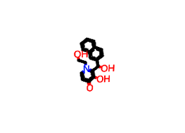 O=c1ccn(CCO)c(C(O)c2ccc3ccccc3c2)c1O